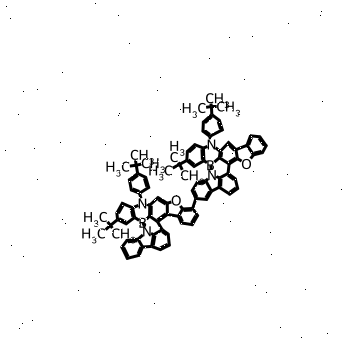 CC(C)(C)c1ccc(N2c3ccc(C(C)(C)C)cc3B3c4c2cc2c(oc5ccccc52)c4-c2cccc4c5cc(-c6cccc7c6oc6cc8c9c(c67)-c6cccc7c%10ccccc%10n(c67)B9c6cc(C(C)(C)C)ccc6N8c6ccc(C(C)(C)C)cc6)ccc5n3c24)cc1